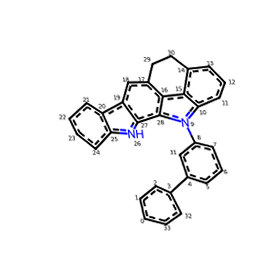 c1ccc(-c2cccc(-n3c4cccc5c4c4c(cc6c7ccccc7[nH]c6c43)CC5)c2)cc1